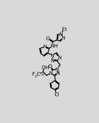 CCn1cc(C(=O)Nc2ncccc2-n2cnc(Cn3nc(-c4ccc(Cl)cc4)n(C[C@H](O)C(F)(F)F)c3=O)n2)cn1